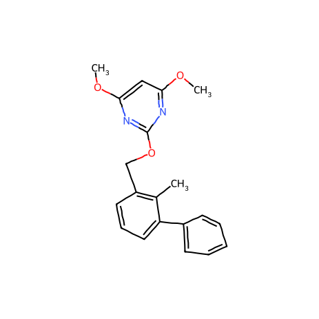 COc1cc(OC)nc(OCc2cccc(-c3ccccc3)c2C)n1